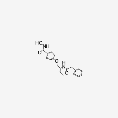 CC[C@@H](COc1ccc(C(=O)NO)cc1)NC(=O)Cc1ccccc1